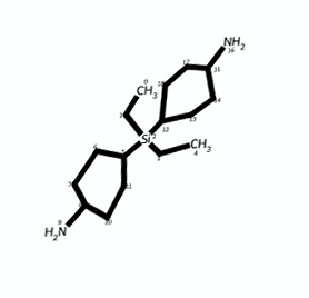 CC[Si](CC)(C1CCC(N)CC1)C1CCC(N)CC1